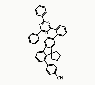 N#Cc1ccc(-c2cccc3c2C2(CCCC2)c2cc(-c4ccccc4-c4nc(-c5ccccc5)nc(-c5ccccc5)n4)ccc2-3)cc1